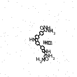 Cl.Cl.NCC(C(N)=O)c1ccc(-c2ccc3[nH]c4ccc(-c5ccc6[nH]c(C(N)CC(N)=O)cc6c5)cc4c3c2)cc1